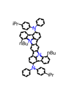 CCCCc1cccc2c3c(N(c4ccccc4)c4ccc(C(C)C)cc4)ccc4c5cc6c(cc5n(c12)c43)c1ccc(N(c2ccccc2)c2ccc(C(C)C)cc2)c2c3cccc(CCCC)c3n6c12